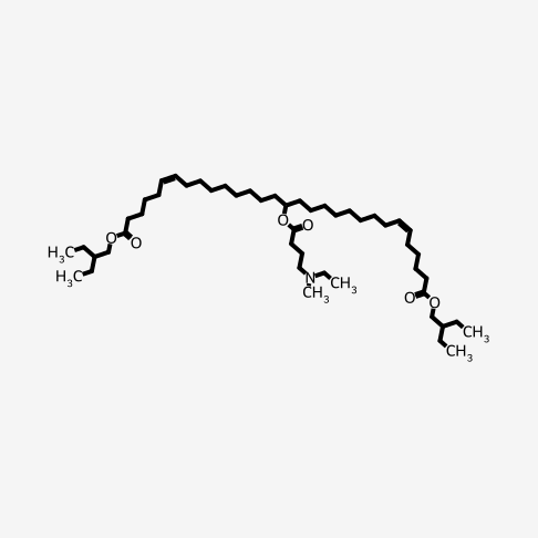 CCC(CC)COC(=O)CCCC/C=C\CCCCCCCCC(CCCCCCCC/C=C\CCCCC(=O)OCC(CC)CC)OC(=O)CCCN(C)CC